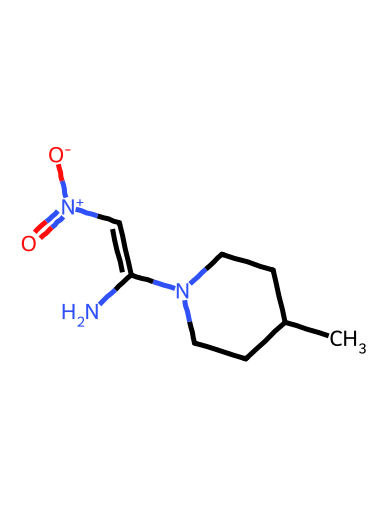 CC1CCN(/C(N)=C/[N+](=O)[O-])CC1